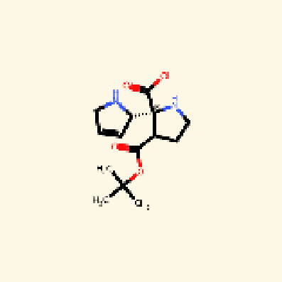 CC(C)(C)OC(=O)C1CCN[C@@]1(C(=O)O)C1C=CCN1